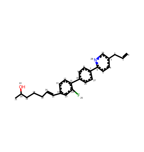 C=CCc1ccc(-c2ccc(-c3ccc(C=CCCCC(C)O)cc3F)cc2)nc1